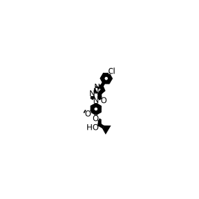 COc1cc(-n2cnn3nc(-c4ccc(Cl)cc4)cc3c2=O)ccc1OC[C@H](O)C1CC1